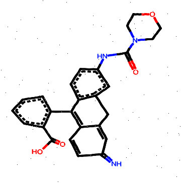 N=C1C=CC2=C(c3ccccc3C(=O)O)c3ccc(NC(=O)N4CCOCC4)cc3CC2=C1